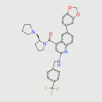 O=C(c1cc(NCc2ccc(C(F)(F)F)cc2)nc2ccc(-c3ccc4c(c3)OCO4)cc12)N1CCC[C@H]1CN1CCCC1